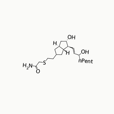 CCCCCC(O)C=C[C@H]1[C@@H]2CC(CCSCC(N)=O)C[C@H]2C[C@@H]1O